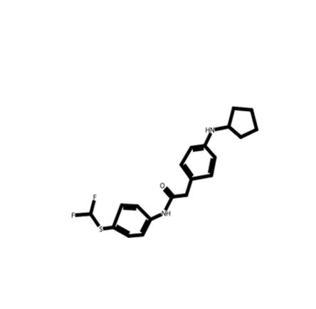 O=C(Cc1ccc(NC2CCCC2)cc1)Nc1ccc(SC(F)F)cc1